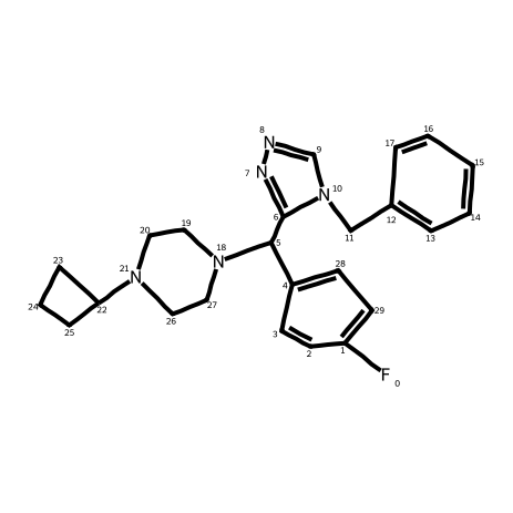 Fc1ccc(C(c2nncn2Cc2ccccc2)N2CCN(C3CCC3)CC2)cc1